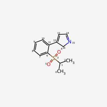 CC(C)S(=O)(=O)c1ccccc1C1=CC=NC1